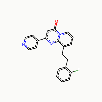 O=c1cc(-c2ccncc2)nc2c(CCc3ccccc3F)cccn12